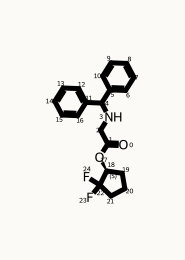 O=C(CNC(c1ccccc1)c1ccccc1)O[C@H]1CCCC1(F)F